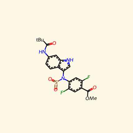 COC(=O)c1cc(F)c(N(c2c[nH]c3cc(NC(=O)C(C)(C)C)ccc23)[SH](=O)=O)cc1F